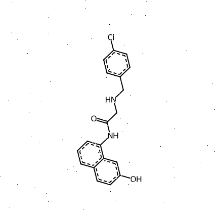 O=C(CNCc1ccc(Cl)cc1)Nc1cccc2ccc(O)cc12